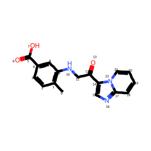 Cc1ccc(C(=O)O)cc1NCC(=O)c1cnc2ccccn12